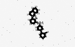 Cc1ccccc1-c1ccc(Nc2cccc3c2sc2c4ccccc4ccc32)cc1